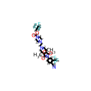 CC12CN(CCN3CCN(C(=O)OCC(F)(F)C(F)(F)F)CC3)CC(C)(O1)C1C(=O)N(c3ccc(C#N)c(C(F)(F)F)c3)C(=O)C12